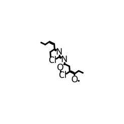 CC/C=C\C(CC)=N\C(Cl)=NC(C/C(Cl)=C(\CC)OC)OC